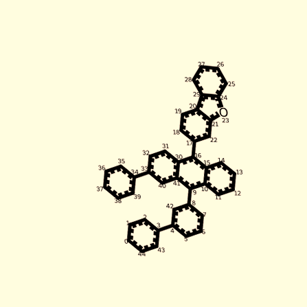 c1ccc(-c2cccc(-c3c4ccccc4c(-c4ccc5c(c4)oc4ccccc45)c4ccc(-c5ccccc5)cc34)c2)cc1